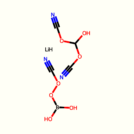 N#COC(O)OC#N.N#COOB(O)O.[LiH]